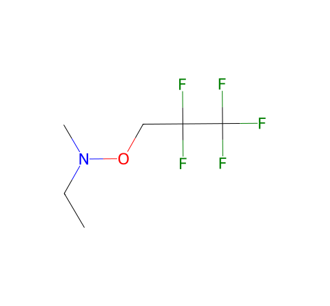 CCN(C)OCC(F)(F)C(F)(F)F